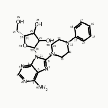 Nc1ncnc2c1nc(N1CCN(c3ccccc3)CC1)n2[C@@H]1O[C@H](CO)C(O)C1O